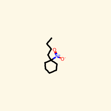 CCCCC1([N+](=O)[O-])CCCCC1